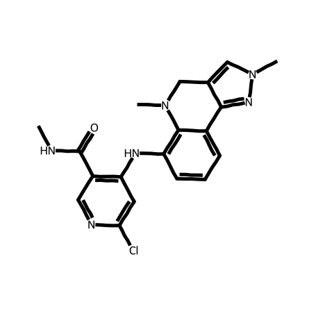 CNC(=O)c1cnc(Cl)cc1Nc1cccc2c1N(C)Cc1cn(C)nc1-2